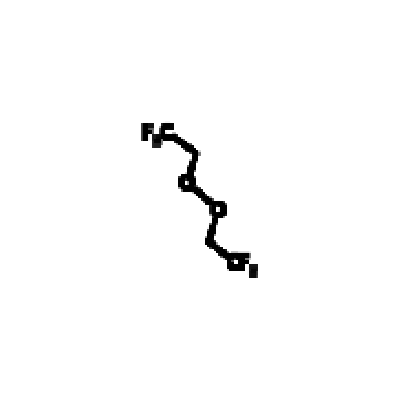 FC(F)(F)COOCC(F)(F)F